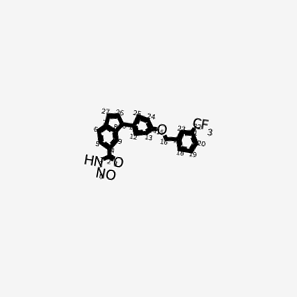 O=NNC(=O)c1ccc2c(c1)C(c1ccc(OCc3cccc(C(F)(F)F)c3)cc1)C=C2